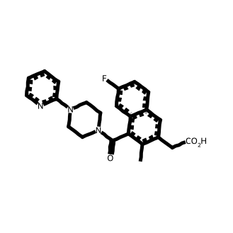 Cc1c(CC(=O)O)cc2ccc(F)cc2c1C(=O)N1CCN(c2ccccn2)CC1